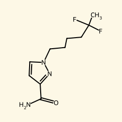 CC(F)(F)CCCCn1ccc(C(N)=O)n1